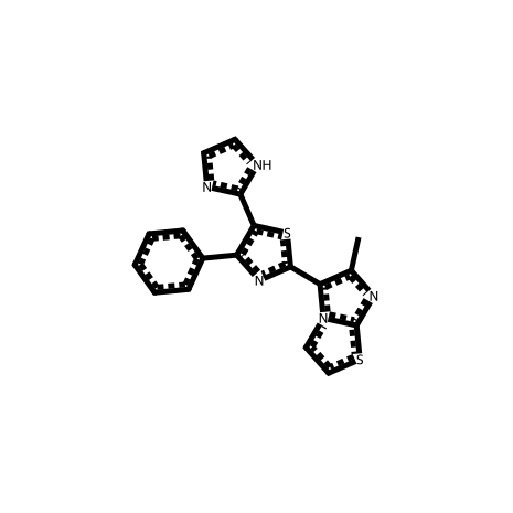 Cc1nc2sccn2c1-c1nc(-c2ccccc2)c(-c2ncc[nH]2)s1